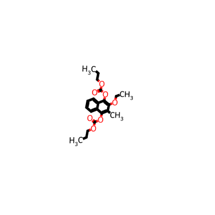 CCCOC(=O)Oc1c(C)c(OCC)c(OC(=O)OCCC)c2ccccc12